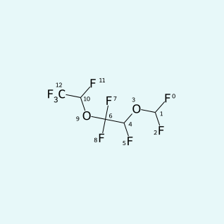 FC(F)OC(F)C(F)(F)OC(F)C(F)(F)F